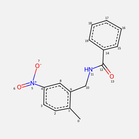 Cc1ccc([N+](=O)[O-])cc1CNC(=O)c1ccccc1